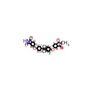 CN1C(=O)c2ccc(Oc3ccc(C(C)(C)c4ccc(Oc5ccc6c(c5)C(=O)NC6=O)cc4)cc3)cc2C1=O